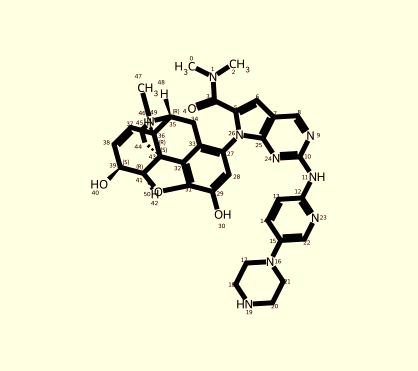 CN(C)C(=O)c1cc2cnc(Nc3ccc(N4CCNCC4)cn3)nc2n1-c1cc(O)c2c3c1C[C@@H]1[C@@H]4C=C[C@H](O)[C@H](O2)[C@]34CCN1C